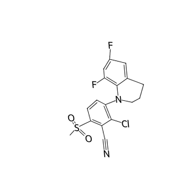 CS(=O)(=O)c1ccc(N2CCCc3cc(F)cc(F)c32)c(Cl)c1C#N